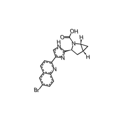 O=C(O)N1[C@@H]2C[C@@H]2C[C@H]1c1nc(-c2ccc3cc(Br)ccc3n2)c[nH]1